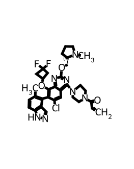 C=CC(=O)N1CCN(c2nc(OC[C@@H]3CCCN3C)nc3c(OC4CC(F)(F)C4)c(-c4c(C)ccc5[nH]ncc45)c(Cl)cc23)CC1